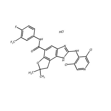 CC1(C)Cc2c(c(C(=O)Nc3ccc(F)c(C(F)(F)F)c3)cc3nc(Nc4c(Cl)cncc4Cl)[nH]c23)O1.Cl